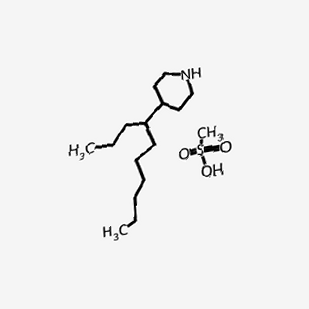 CCCCCCC(CCC)C1CCNCC1.CS(=O)(=O)O